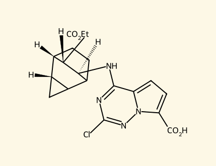 CCOC(=O)[C@H]1[C@H]2CCC(C3C[C@@H]32)[C@@H]1Nc1nc(Cl)nn2c(C(=O)O)ccc12